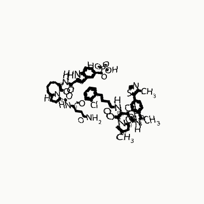 Cc1ncsc1-c1ccc([C@H](C)NC(=O)[C@@H]2C[C@@H](C)CN2C(=O)[C@@H](NC(=O)CCCc2cccc(OC[C@H](CCC(N)=O)NC(=O)[C@@H]3CC[C@@H]4CCCC[C@H](NC(=O)c5cc6cc(C(=O)P(=O)(O)O)ccc6[nH]5)C(=O)N43)c2Cl)C(C)(C)C)cc1